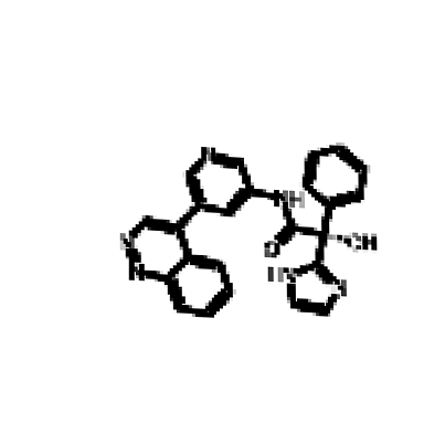 O=C(Nc1cncc(-c2cnnc3ccccc23)c1)[C@@](O)(c1ccccc1)c1ncc[nH]1